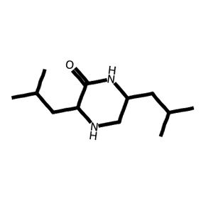 CC(C)CC1CNC(CC(C)C)C(=O)N1